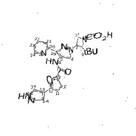 CC(C)(C)C1C(n2cc(NC(=O)c3ccc(-c4cn[nH]c4)o3)c(-c3ccccn3)n2)CN1C(=O)O